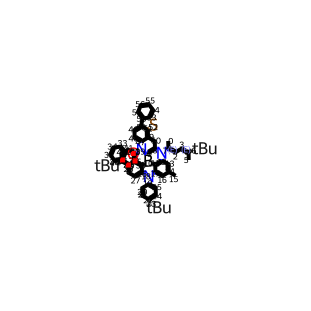 C/C(=C\C=C(/C)C(C)(C)C)N1C2=C(B3c4c1cc(C)cc4N(c1ccc(C(C)(C)C)cc1)c1ccc4c(oc5ccccc54)c13)N(c1ccc(C(C)(C)C)cc1)c1ccc3c(sc4ccccc43)c1C2